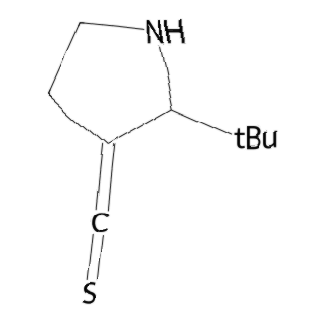 CC(C)(C)C1NCCC1=C=S